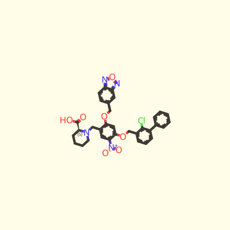 O=C(O)[C@@H]1CCCCN1Cc1cc([N+](=O)[O-])c(OCc2cccc(-c3ccccc3)c2Cl)cc1OCc1ccc2nonc2c1